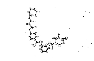 O=C(Cc1ccc(C(=O)Oc2cccc3c2CN(C2CCC(=O)NC2=O)C3)cc1)NCCN1CCOCC1